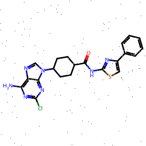 Nc1nc(Cl)nc2c1ncn2C1CCC(C(=O)Nc2nc(-c3ccccc3)cs2)CC1